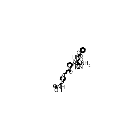 Nc1ncnc2c1c(C(=O)Nc1nc3ccccc3o1)nn2C1CCCN(C(=O)/C=C/CN2CCN(CCNC(=O)O)CC2)C1